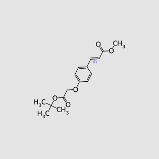 COC(=O)/C=C/c1ccc(OCC(=O)OC(C)(C)C)cc1